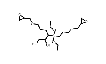 CCO[Si](CCCOCC1CO1)(OCC)C(CCCOCC1CO1)C(O)CO